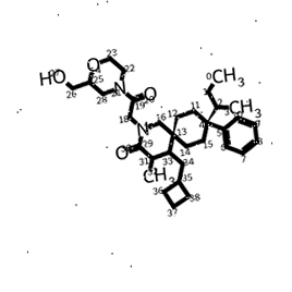 CCC(C)[C@]1(c2ccccc2)CC[C@]2(CC1)CN(CC(=O)N1CCOC(CO)C1)C(=O)C(C)C2CC1CCC1